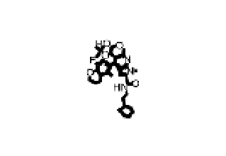 Cc1nc2c(cc(C(=O)NCCC3CCCCC3)n2C)c(-c2cc(F)c3c(c2C)CCCO3)c1[C@H](OC(C)(C)C)C(=O)O